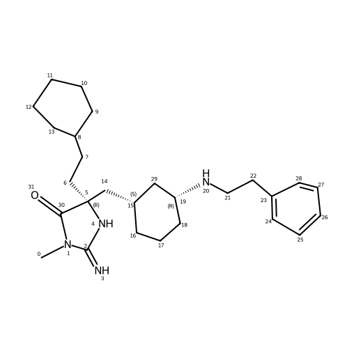 CN1C(=N)N[C@](CCC2CCCCC2)(C[C@H]2CCC[C@@H](NCCc3ccccc3)C2)C1=O